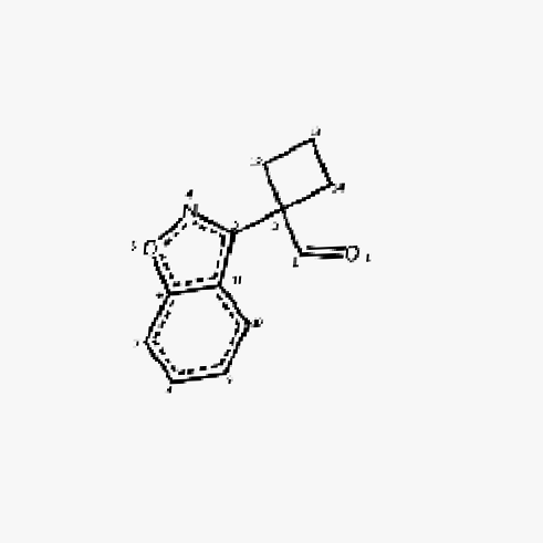 O=CC1(c2noc3ccccc23)CCC1